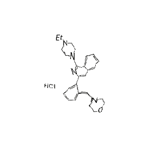 CCN1CCN(c2nc(-c3ccccc3CN3CCOCC3)cc3ccccc23)CC1.Cl